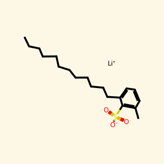 CCCCCCCCCCCCc1cccc(C)c1S(=O)(=O)[O-].[Li+]